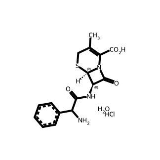 CC1=C(C(=O)O)N2C(=O)[C@@H](NC(=O)C(N)c3ccccc3)[C@H]2SC1.Cl.O